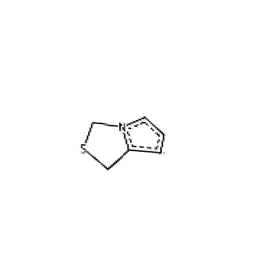 [c]1ccn2c1CSC2